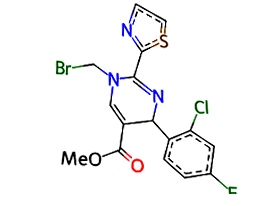 COC(=O)C1=CN(CBr)C(c2nccs2)=NC1c1ccc(F)cc1Cl